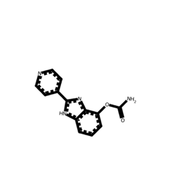 NC(=O)Oc1cccc2[nH]c(-c3ccncc3)nc12